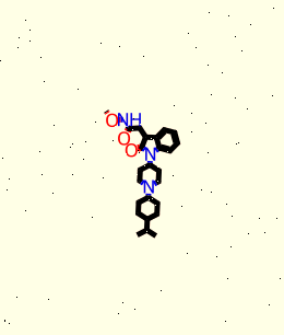 CONC(=O)CC1C(=O)N(C2CCN(C3CCC(C(C)C)CC3)CC2)c2ccccc21